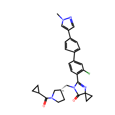 Cn1cc(-c2ccc(-c3ccc(C4=NC5(CC5)C(=O)N4C[C@@H]4CCN(C(=O)C5CC5)C4)c(F)c3)cc2)cn1